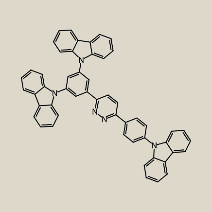 c1ccc2c(c1)c1ccccc1n2-c1ccc(-c2ccc(-c3cc(-n4c5ccccc5c5ccccc54)cc(-n4c5ccccc5c5ccccc54)c3)nn2)cc1